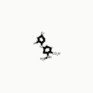 BNc1cc(Oc2ccc(F)cc2F)ccc1C(=O)O